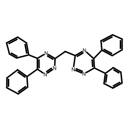 c1ccc(-c2nnc(Cc3nnc(-c4ccccc4)c(-c4ccccc4)n3)nc2-c2ccccc2)cc1